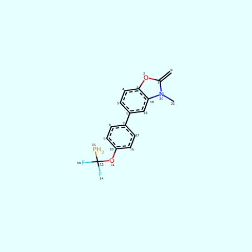 C=C1Oc2ccc(-c3ccc(OC(F)(F)P)cc3)cc2N1C